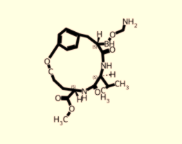 COC(=O)[C@@H]1CCCOc2ccc(cc2)C[C@H](BOCN)C(=O)N[C@@H](C(C)C)C(=O)N1